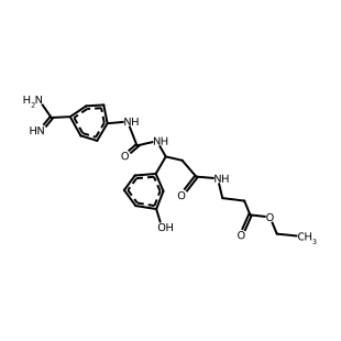 CCOC(=O)CCNC(=O)CC(NC(=O)Nc1ccc(C(=N)N)cc1)c1cccc(O)c1